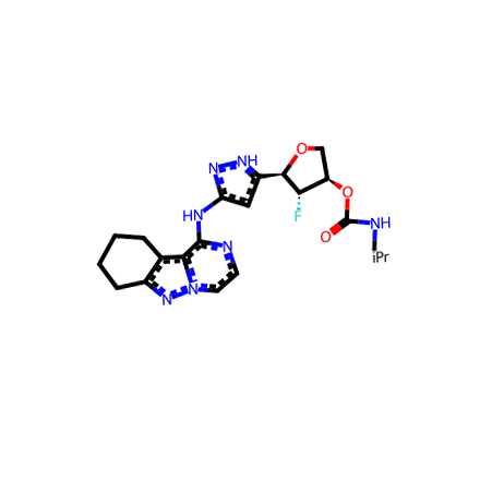 CC(C)NC(=O)O[C@@H]1CO[C@H](c2cc(Nc3nccn4nc5c(c34)CCCC5)n[nH]2)[C@H]1F